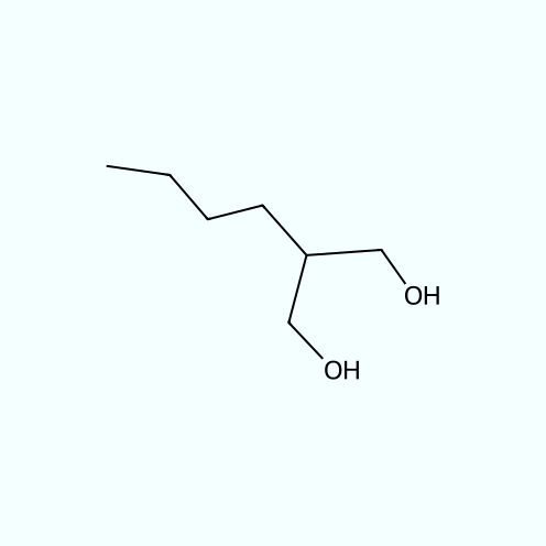 CCCCC(CO)CO